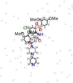 COc1ccc(S(=O)(=O)c2cc(Cl)cc3c2NC(=O)C3(CC(=O)N2CCN(c3ccncc3)CC2)c2cccc(OC)c2OC)c(OC)c1